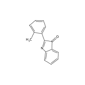 Cc1ccccc1C1=Nc2ccccc2C1=O